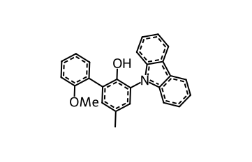 COc1ccccc1-c1cc(C)cc(-n2c3ccccc3c3ccccc32)c1O